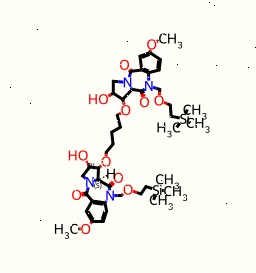 COc1ccc2c(c1)C(=O)N1CC(O)C(OCCCCCOC3[C@H](O)CN4C(=O)c5cc(OC)ccc5N(COCC[Si](C)(C)C)C(=O)[C@H]34)C1C(=O)N2COCC[Si](C)(C)C